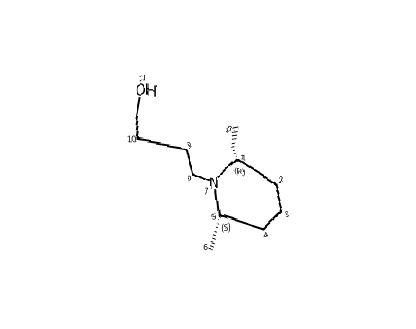 C[C@@H]1CCC[C@H](C)N1CCCO